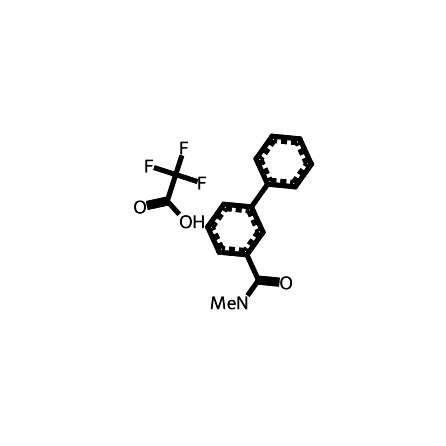 CNC(=O)c1cccc(-c2ccccc2)c1.O=C(O)C(F)(F)F